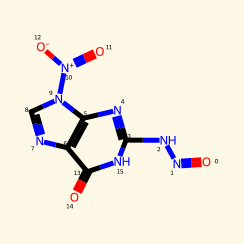 O=NNc1nc2c(ncn2[N+](=O)[O-])c(=O)[nH]1